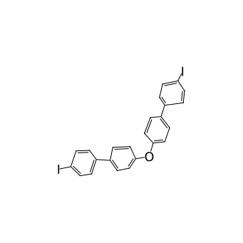 Ic1ccc(-c2ccc(Oc3ccc(-c4ccc(I)cc4)cc3)cc2)cc1